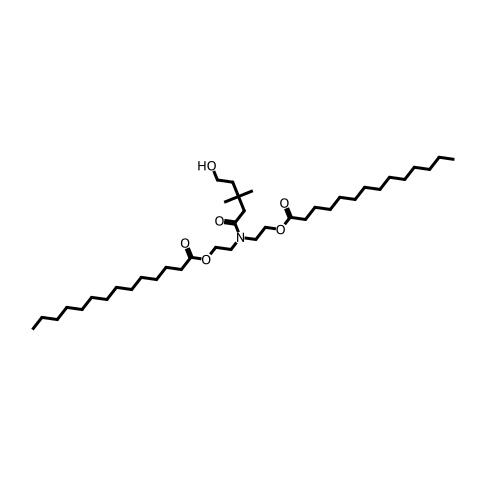 CCCCCCCCCCCCCC(=O)OCCN(CCOC(=O)CCCCCCCCCCCCC)C(=O)CC(C)(C)CCO